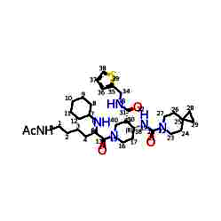 CC(=O)NCCCC[C@@H](NC1CCCCC1)C(=O)N1CC[C@@H](NC(=O)N2CCC3(CC2)CC3)[C@@H](C(=O)NCc2cccs2)C1